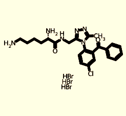 Br.Br.Br.Cc1nnc(CNC(=O)[C@@H](N)CCCCN)n1-c1ccc(Cl)cc1C(=O)c1ccccc1